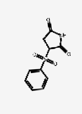 O=C1CC(S(=O)(=O)c2ccccc2)C(=O)N1